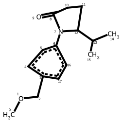 COCc1ccc(N2C(=O)CCC2C(C)C)cc1